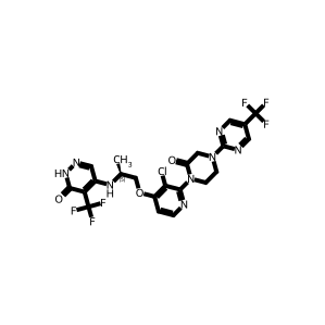 C[C@@H](COc1ccnc(N2CCN(c3ncc(C(F)(F)F)cn3)CC2=O)c1Cl)Nc1cn[nH]c(=O)c1C(F)(F)F